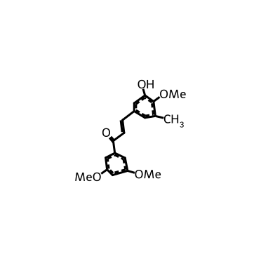 COc1cc(OC)cc(C(=O)C=Cc2cc(C)c(OC)c(O)c2)c1